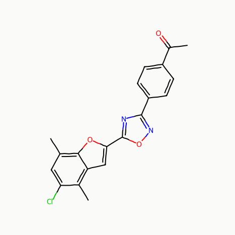 CC(=O)c1ccc(-c2noc(-c3cc4c(C)c(Cl)cc(C)c4o3)n2)cc1